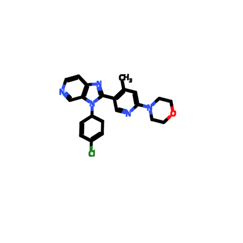 Cc1cc(N2CCOCC2)ncc1-c1nc2ccncc2n1C1C=CC(Cl)=CC1